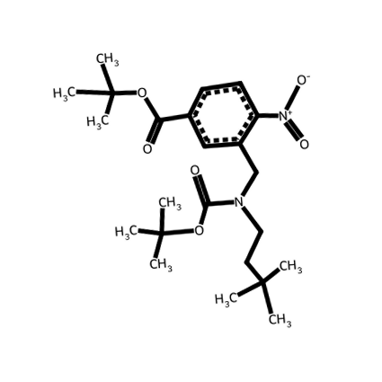 CC(C)(C)CCN(Cc1cc(C(=O)OC(C)(C)C)ccc1[N+](=O)[O-])C(=O)OC(C)(C)C